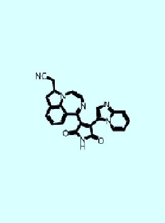 N#CCC1Cc2cccc3c2N1C=CN=C3C1=C(c2cnc3ccccn23)C(=O)NC1=O